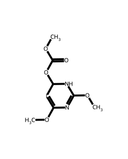 COC(=O)OC1NC(OC)=NC(OC)=I1